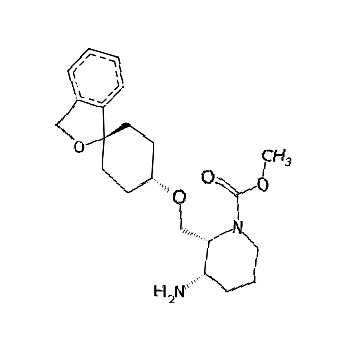 COC(=O)N1CCC[C@H](N)[C@@H]1CO[C@H]1CC[C@@]2(CC1)OCc1ccccc12